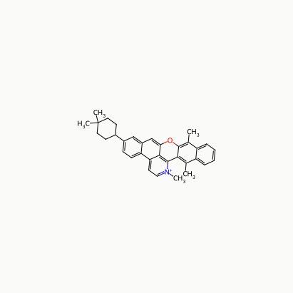 Cc1c2c(c(C)c3ccccc13)-c1c3c(cc4cc(C5CCC(C)(C)CC5)ccc4c3cc[n+]1C)O2